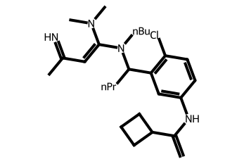 C=C(Nc1ccc(Cl)c(C(CCC)N(CCCC)/C(=C/C(C)=N)N(C)C)c1)C1CCC1